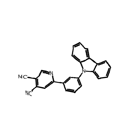 N#Cc1cnc(-c2cccc(-n3c4ccccc4c4ccccc43)c2)cc1C#N